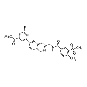 COC(=O)c1cc(F)nc(-c2ccc3cnc(CNC(=O)c4ccc(C)c(S(C)(=O)=O)c4)cc3n2)c1